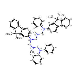 CCCCCCC1(CCCCCC)c2ccccc2-c2ccc(N(CN(C)CN(c3ccccc3)c3ccccc3)CN(C)CN(c3ccccc3)c3ccc4c(c3)C(CCCCCC)(CCCCCC)c3ccccc3-4)cc21